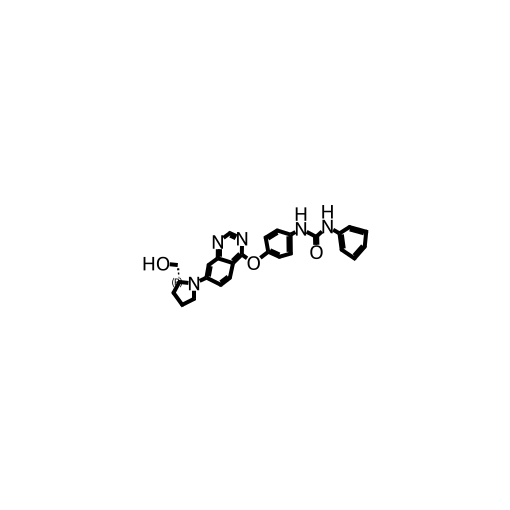 O=C(Nc1ccccc1)Nc1ccc(Oc2ncnc3cc(N4CCC[C@@H]4CO)ccc23)cc1